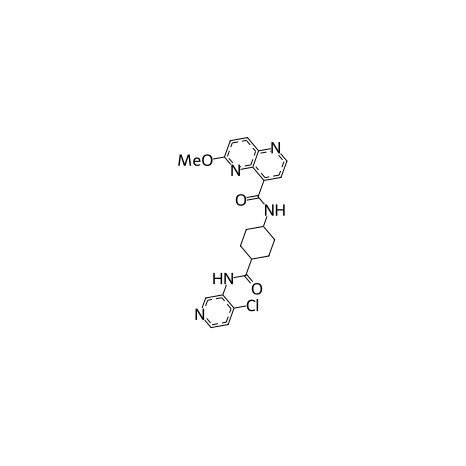 COc1ccc2nccc(C(=O)NC3CCC(C(=O)Nc4cnccc4Cl)CC3)c2n1